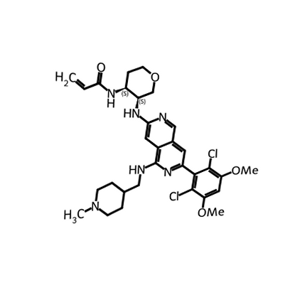 C=CC(=O)N[C@H]1CCOC[C@H]1Nc1cc2c(NCC3CCN(C)CC3)nc(-c3c(Cl)c(OC)cc(OC)c3Cl)cc2cn1